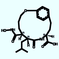 CC(C)C[C@H]1C(=O)N[C@H](C(=O)O)CCc2ccc(cc2)OCCC[C@@H]1C(=O)NO